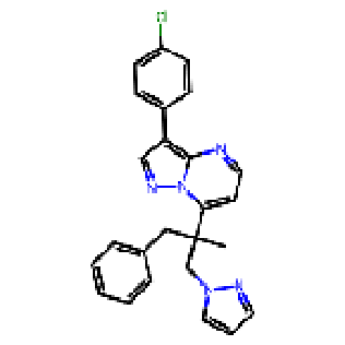 CC(Cc1ccccc1)(Cn1cccn1)c1ccnc2c(-c3ccc(Cl)cc3)cnn12